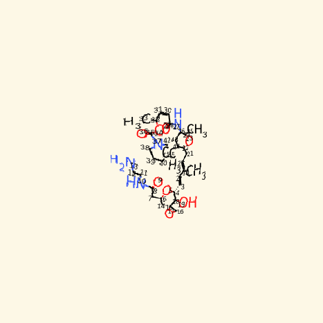 CC(/C=C/[C@H]1O[C@H](CC(=O)NCCN)C[C@@]2(CO2)[C@@H]1O)=C\C[C@@H]1O[C@H](C)[C@H](NC(=O)/C=C\[C@H](C)OC(=O)N2CCCCC2)C[C@@H]1C